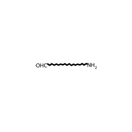 NCCCCCCCCCCCCCCCCCCC[C]=O